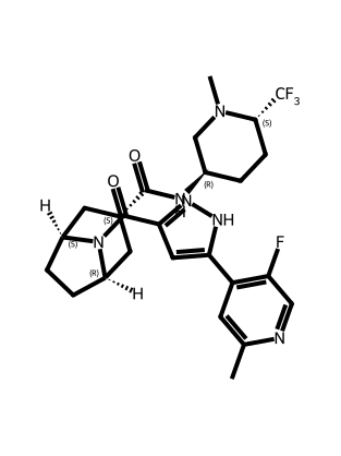 Cc1cc(-c2cc(C(=O)N3[C@@H]4CC[C@H]3C[C@H](C(=O)N[C@@H]3CC[C@@H](C(F)(F)F)N(C)C3)C4)n[nH]2)c(F)cn1